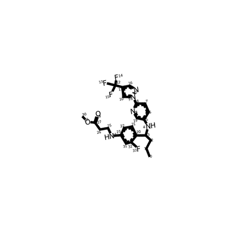 CCCC(Nc1ccc(-n2cc(C(F)(F)F)cn2)nc1)c1ccc(NCCC(=O)OC)cc1F